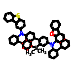 C[Si]1(C)c2cc(N(c3ccccc3-c3ccccc3)c3cccc4c3oc3ccccc34)ccc2-c2ccc(N(c3ccc4sc5ccccc5c4c3)c3ccccc3-c3ccccc3)c3cccc1c23